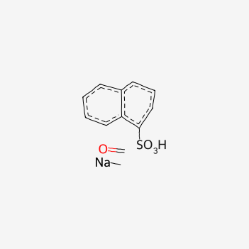 C=O.O=S(=O)(O)c1cccc2ccccc12.[CH3][Na]